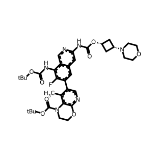 Cc1c(-c2cc3cc(NC(=O)O[C@H]4C[C@@H](N5CCOCC5)C4)ncc3c(NC(=O)OC(C)(C)C)c2F)cnc2c1N(C(=O)OC(C)(C)C)CCO2